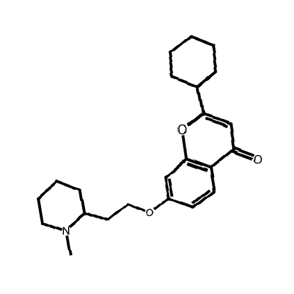 CN1CCCCC1CCOc1ccc2c(=O)cc(C3CCCCC3)oc2c1